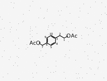 CC(=O)OCCc1ccc(COC(C)=O)cc1